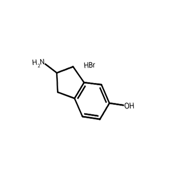 Br.NC1Cc2ccc(O)cc2C1